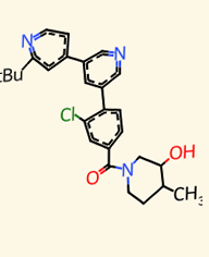 CC1CCN(C(=O)c2ccc(-c3cncc(-c4ccnc(C(C)(C)C)c4)c3)c(Cl)c2)CC1O